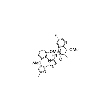 COc1cccc(OC)c1-n1c(NS(=O)(=O)C(C)C(OC)c2ncc(F)cn2)nnc1-c1ccc(C)o1